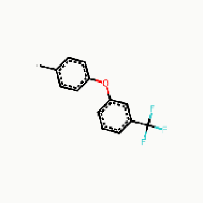 [CH2]c1ccc(Oc2cccc(C(F)(F)F)c2)cc1